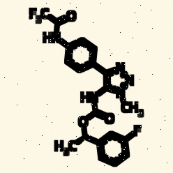 C[C@@H](OC(=O)Nc1c(-c2ccc(NC(=O)C(F)(F)F)cc2)nnn1C)c1cccc(F)c1